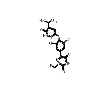 CC(C)c1cc(Oc2c(Cl)cc(-c3nn(CF)c(=O)[nH]c3=O)cc2Cl)n[nH]c1=O